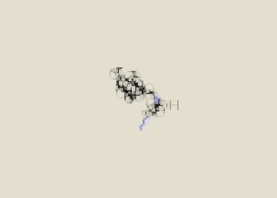 C=C(C)[C@H](C[C@@H]1CC[C@@H](C)[C@](O)(C(=O)C(=O)N2CCCC[C@H]2C(=O)O[C@@H](CC(=O)[C@H](C)/C=C(\C)[C@@H](O)[C@@H](OC)C(=O)[C@H](C)C[C@H](C)/C=C/C=C/C)[C@H](C)C[C@@H]2CC[C@@H](C(C)C)[C@H](OC)C2)O1)OC